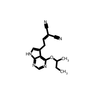 CCC(C)Oc1ncnc2[nH]cc(CC=C(C#N)C#N)c12